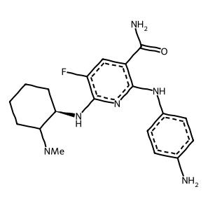 CNC1CCCC[C@H]1Nc1nc(Nc2ccc(N)cc2)c(C(N)=O)cc1F